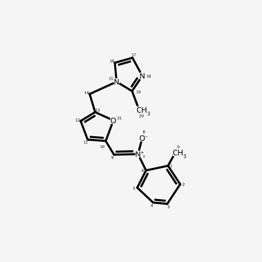 Cc1ccccc1[N+]([O-])=Cc1ccc(Cn2ccnc2C)o1